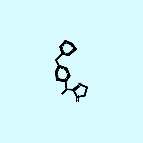 CC(C1=NCCN1)c1ccc(Cc2ccccc2)cc1